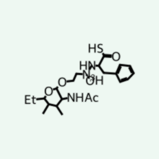 [3H]ON(CCOC1OC(CC)C(C)C(C)C1NC(C)=O)NC(Cc1ccccc1)C(=O)S